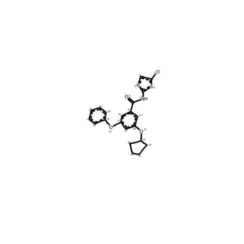 O=C(Nc1ncc(Cl)s1)c1cc(Oc2cc[c]cc2)cc(OC2CCCC2)c1